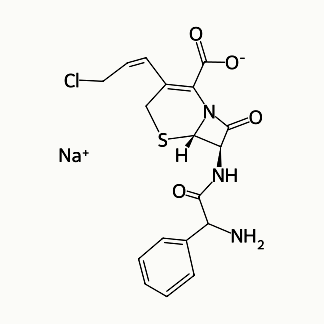 NC(C(=O)N[C@@H]1C(=O)N2C(C(=O)[O-])=C(/C=C\CCl)CS[C@@H]12)c1ccccc1.[Na+]